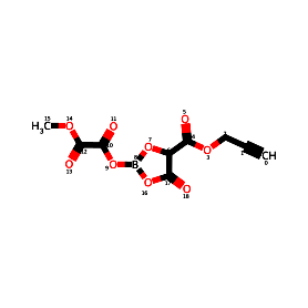 C#CCOC(=O)C1OB(OC(=O)C(=O)OC)OC1=O